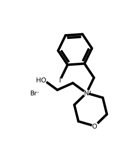 OCC[N+]1(Cc2ccccc2I)CCOCC1.[Br-]